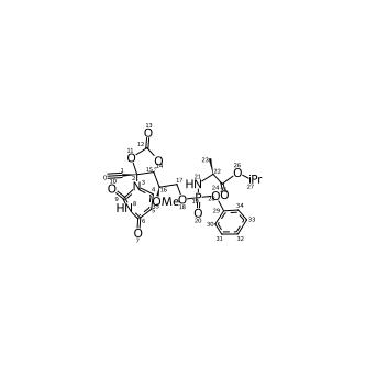 C#C[C@@]1(n2ccc(=O)[nH]c2=O)OC(=O)O[C@@H]1[C@@H](COP(=O)(N[C@@H](C)C(=O)OC(C)C)Oc1ccccc1)OC